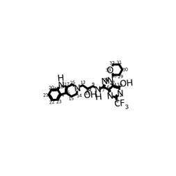 Oc1nc(C(F)(F)F)nc2c(NC[C@H](O)CN3CCc4c([nH]c5ccccc45)C3)nn(C3CCCCO3)c12